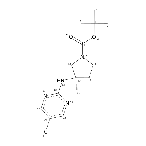 CC(C)(C)OC(=O)N1CC[C@@](C)(Nc2ncc(Cl)cn2)C1